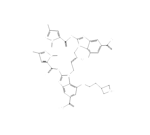 CCn1nc(C)cc1C(=O)Nc1nc2cc(C(N)=O)cc(OC)c2n1C/C=C/Cn1c(NC(=O)c2cc(C)nn2C)nc2cc(C(N)=O)cc(OCCC3CNC3)c21